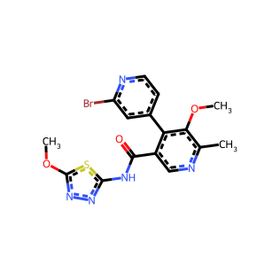 COc1nnc(NC(=O)c2cnc(C)c(OC)c2-c2ccnc(Br)c2)s1